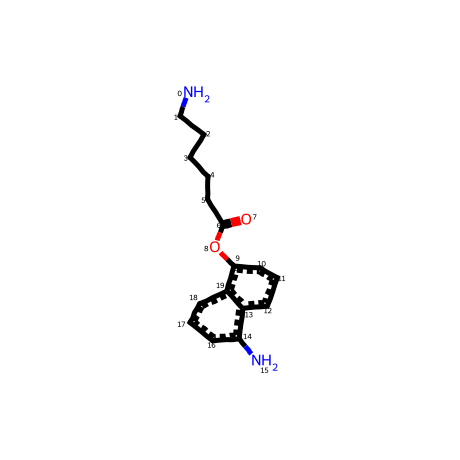 NCCCCCC(=O)Oc1cccc2c(N)cccc12